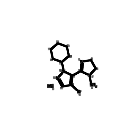 Cl.NN1CCN=C1c1c(Br)cnn1C1CCCCC1